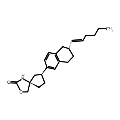 CCCC/C=C/[C@@H]1CCc2cc([C@H]3CC[C@]4(COC(=O)N4)C3)ccc2C1